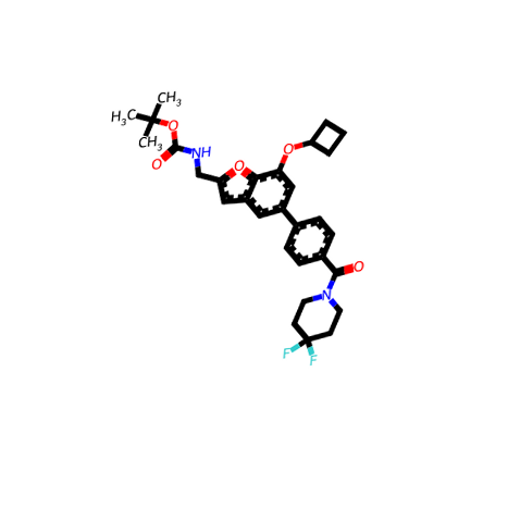 CC(C)(C)OC(=O)NCc1cc2cc(-c3ccc(C(=O)N4CCC(F)(F)CC4)cc3)cc(OC3CCC3)c2o1